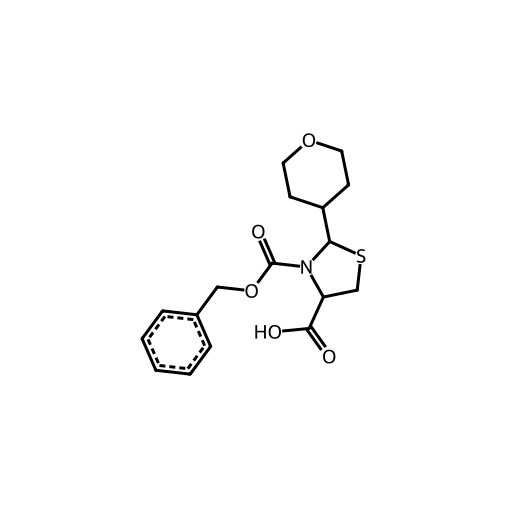 O=C(O)C1CSC(C2CCOCC2)N1C(=O)OCc1ccccc1